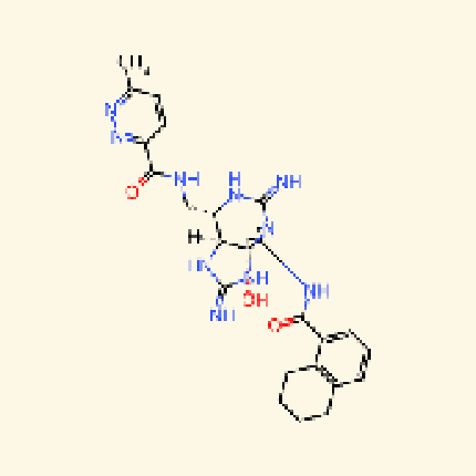 Cc1ccc(C(=O)NC[C@@H]2NC(=N)N3CC(NC(=O)c4cccc5c4CCCC5)[C@@H](O)C34NC(=N)N[C@@H]24)nn1